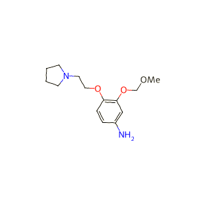 COCOc1cc(N)ccc1OCCN1CCCC1